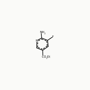 CCOC(=O)c1cnc(N)c(F)c1